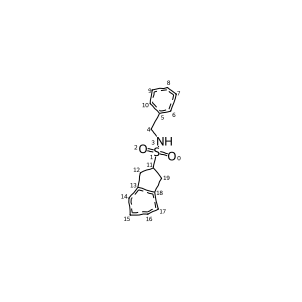 O=S(=O)(NCc1ccccc1)C1Cc2ccccc2C1